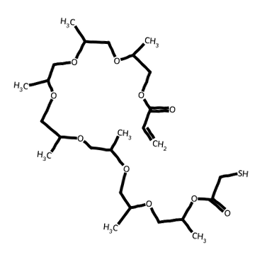 C=CC(=O)OCC(C)OCC(C)OCC(C)OCC(C)OCC(C)OCC(C)OCC(C)OC(=O)CS